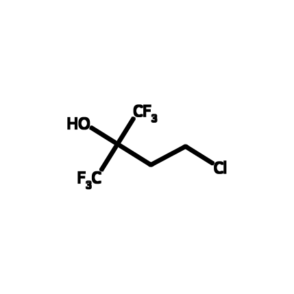 OC(CCCl)(C(F)(F)F)C(F)(F)F